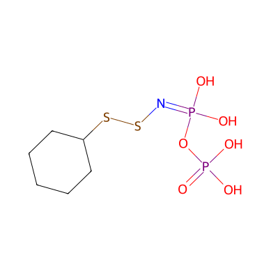 O=P(O)(O)OP(O)(O)=NSSC1CCCCC1